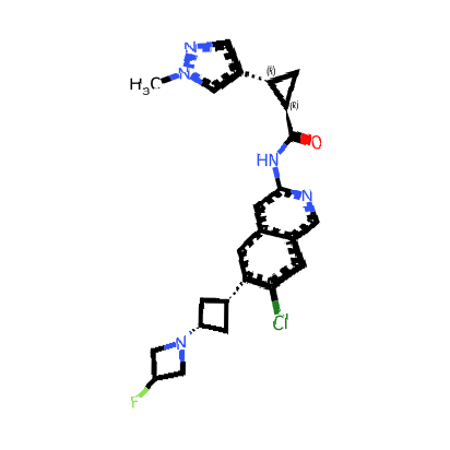 Cn1cc([C@@H]2C[C@H]2C(=O)Nc2cc3cc([C@H]4C[C@@H](N5CC(F)C5)C4)c(Cl)cc3cn2)cn1